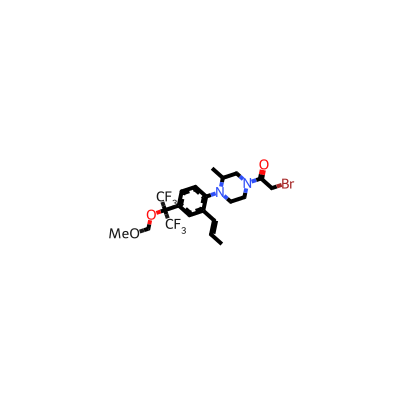 CC=Cc1cc(C(OCOC)(C(F)(F)F)C(F)(F)F)ccc1N1CCN(C(=O)CBr)CC1C